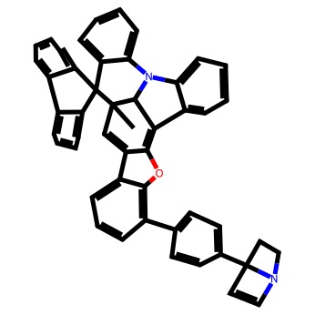 CC12C=c3c(oc4c(-c5ccc(C67C=CN6CC7)cc5)cccc34)=C3c4ccccc4N(c4ccccc4C14c1ccccc1-c1ccccc14)C32